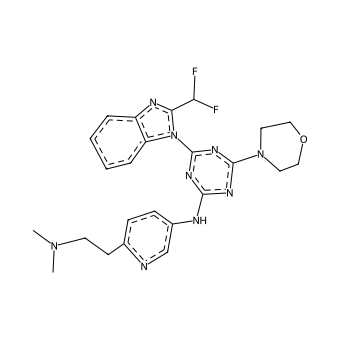 CN(C)CCc1ccc(Nc2nc(N3CCOCC3)nc(-n3c(C(F)F)nc4ccccc43)n2)cn1